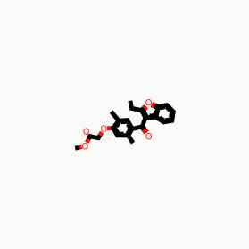 CCc1oc2ccccc2c1C(=O)c1cc(C)c(OCC(=O)OC)cc1C